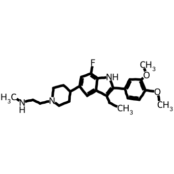 CCc1c(-c2ccc(OC)c(OC)c2)[nH]c2c(F)cc(C3CCN(CCNC)CC3)cc12